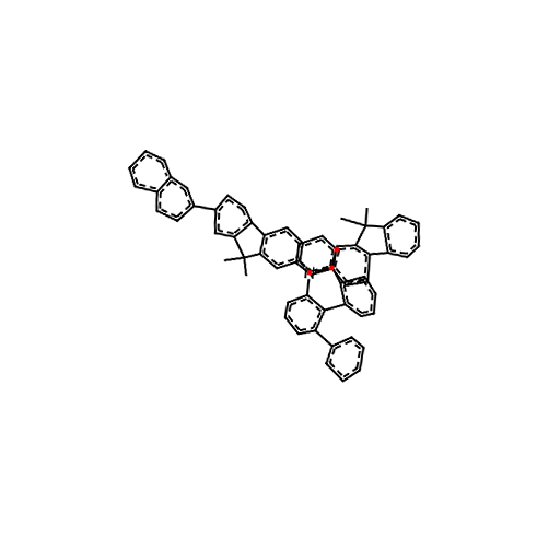 CC1(C)c2ccccc2-c2ccc(N(c3ccc4c(c3)C(C)(C)c3cc(-c5ccc6ccccc6c5)ccc3-4)c3cccc(-c4ccccc4)c3-c3ccccc3-c3ccccc3)cc21